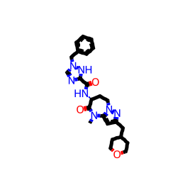 CN1C(=O)[C@H](NC(=O)C2N=CN(Cc3ccccc3)N2)CCn2nc(CC3CCOCC3)cc21